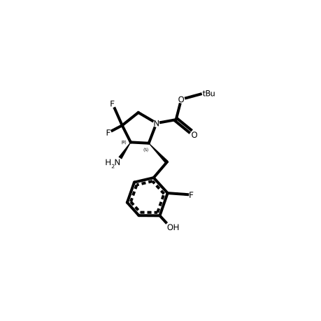 CC(C)(C)OC(=O)N1CC(F)(F)[C@H](N)[C@@H]1Cc1cccc(O)c1F